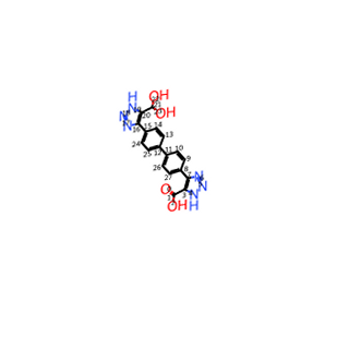 O=C(O)c1[nH]nnc1-c1ccc(-c2ccc(-c3nn[nH]c3C(O)O)cc2)cc1